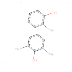 CC(C)(C)c1cccc(C(C)(C)C)c1O.CC(C)(C)c1ccccc1O